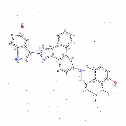 CCC(C)/C=C(/CNc1ccc2c(c1)c1ccccc1c1[nH]c(-c3c[nH]c4ccc(Br)cc34)nc21)c1cc(Br)ccc1C